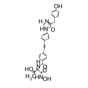 C[C@@H](O)[C@H](NC(=O)c1ccc(C#Cc2ccc(NC(=O)[C@@H](N)Cc3ccc(O)cc3)cc2)cc1)C(=O)NO